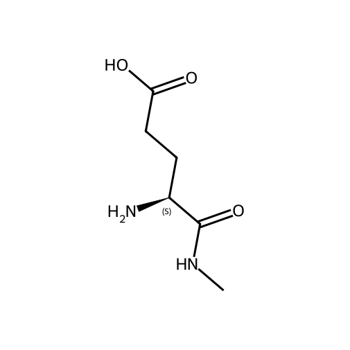 CNC(=O)[C@@H](N)CCC(=O)O